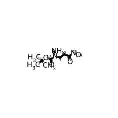 CC(C)(C)OC(=O)N(N)CCC(=O)N=O